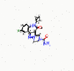 NC(=O)N1CCn2nc(-c3cccc(F)c3)c(C(=O)NC34CC(C3)C4)c2C1